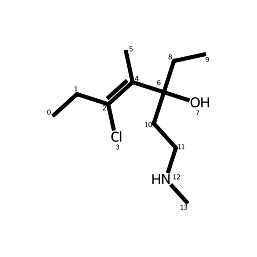 CC/C(Cl)=C(\C)C(O)(CC)CCNC